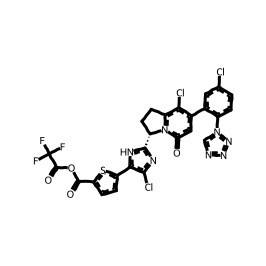 O=C(OC(=O)C(F)(F)F)c1ccc(-c2[nH]c([C@@H]3CCc4c(Cl)c(-c5cc(Cl)ccc5-n5cnnn5)cc(=O)n43)nc2Cl)s1